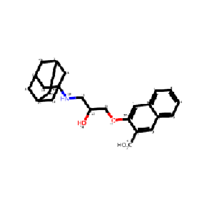 O=C(O)c1cc2ccccc2cc1OCC(O)CNC12CC3CC(CC(C3)C1)C2